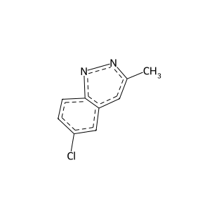 Cc1cc2cc(Cl)ccc2nn1